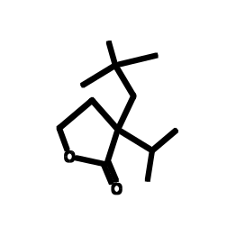 CC(C)C1(CC(C)(C)C)CCOC1=O